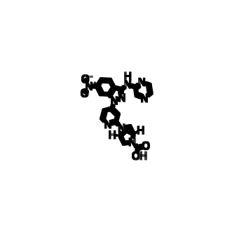 O=C(O)N1C[C@@H]2C[C@H]1CN2c1cc(-n2nc(Nc3cnccn3)c3ccc([N+](=O)[O-])cc32)ccn1